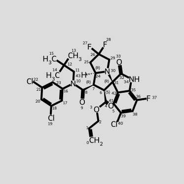 C=CCOC(=O)[C@H]1[C@@H](C(=O)N(CC(C)(C)C)c2cc(Cl)cc(Cl)c2)[C@H]2CC(F)(F)CN2[C@]12C(=O)Nc1c(F)cc(Cl)cc12